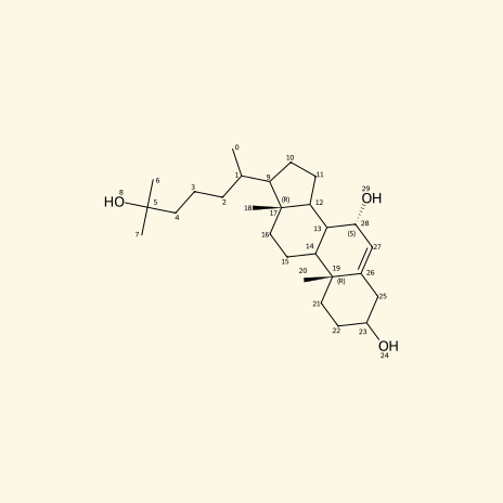 CC(CCCC(C)(C)O)C1CCC2C3C(CC[C@]12C)[C@@]1(C)CCC(O)CC1=C[C@H]3O